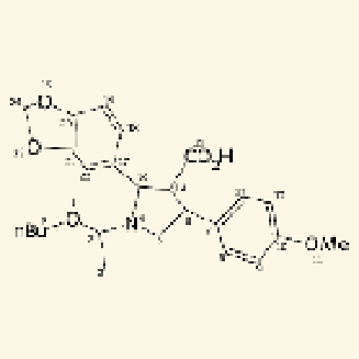 CCCCOC(C)N1CC(c2ccc(OC)cc2)C(C(=O)O)C1c1ccc2c(c1)OCO2